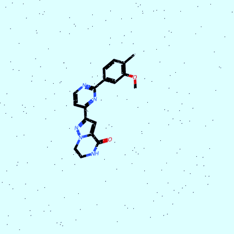 COc1cc(-c2nccc(-c3cc4n(n3)CCNC4=O)n2)ccc1C